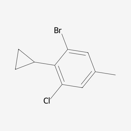 Cc1cc(Cl)c(C2CC2)c(Br)c1